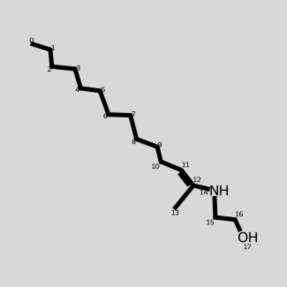 CCCCCCCCCCC/C=C(\C)NCCO